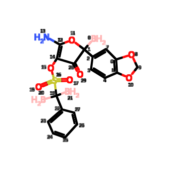 BC1(c2ccc3c(c2)OCO3)OC(N)=C(OS(=O)(=O)C(B)(B)c2ccccc2)C1=O